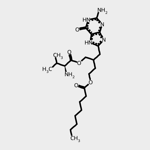 CCCCCCCC(=O)OCCC(COC(=O)[C@@H](N)C(C)C)Cc1nc2nc(N)[nH]c(=O)c2[nH]1